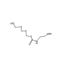 CSCCNC(=O)SCSCSCO